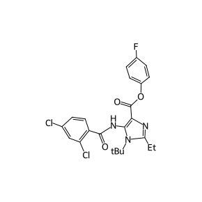 CCc1nc(C(=O)Oc2ccc(F)cc2)c(NC(=O)c2ccc(Cl)cc2Cl)n1C(C)(C)C